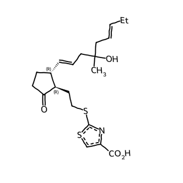 CCC=CCC(C)(O)CC=C[C@H]1CCC(=O)[C@@H]1CCSc1nc(C(=O)O)cs1